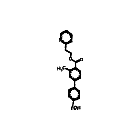 CCCCCCCCc1ccc(-c2ccc(C(=O)OCCc3ccccn3)c(C)c2)cc1